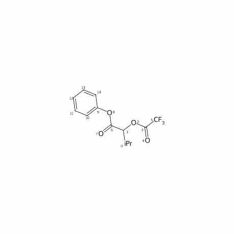 CC(C)C(OC(=O)C(F)(F)F)C(=O)Oc1ccccc1